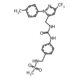 Cc1ccc(-n2nc(C(F)(F)F)cc2CNC(=O)Nc2ccc(CNS(C)(=O)=O)cc2)cc1